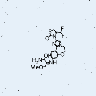 COC[C@H](Nc1ccc2c(c1)OCCn1cc(N3C(=O)SC[C@H]3C(F)F)nc1-2)C(N)O